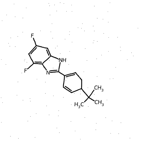 CC(C)(C)C1C=CC(c2nc3c(F)cc(F)cc3[nH]2)=CC1